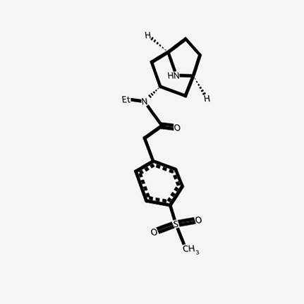 CCN(C(=O)Cc1ccc(S(C)(=O)=O)cc1)[C@@H]1C[C@H]2CC[C@@H](C1)N2